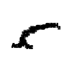 CC(=O)CCC1CC(OC(C)=O)CC(OCCc2ccc(CC[N+]34CC[N+]3(CCOCCOCCOCCN)CC4)cc2)O1